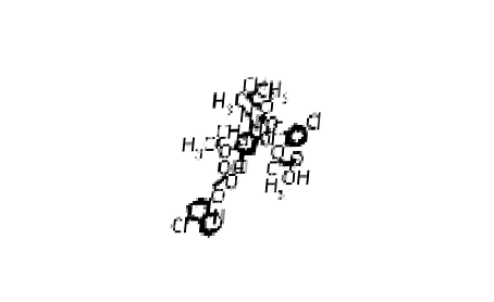 CC(C)Oc1cc(-n2nc(C(C)(C)C)oc2=O)c(Cl)cc1Cl.Cc1cc(Cl)ccc1OC(C)C(=O)O.O=C(O)COc1ccc(Cl)c2cccnc12